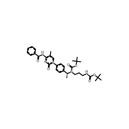 Cc1cn(-c2ccc([C@H](C)N(CCCNC(=O)OC(C)(C)C)C(=O)OC(C)(C)C)cc2)c(=O)nc1NC(=O)c1ccccc1